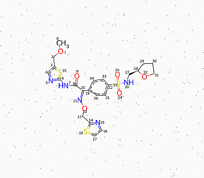 COCc1cnc(NC(=O)/C(=N/OCc2nccs2)c2ccc(S(=O)(=O)NC[C@H]3CCCO3)cc2)s1